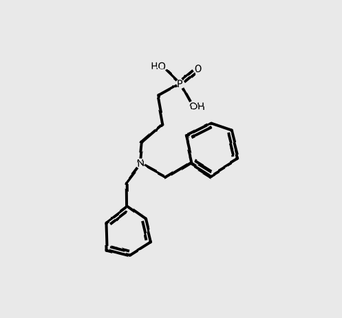 O=P(O)(O)CCCN(Cc1ccccc1)Cc1ccccc1